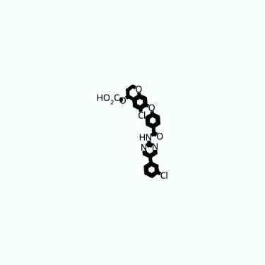 O=C(O)OC1CCOc2cc(Oc3ccc(C(=O)Nc4ncc(-c5cccc(Cl)c5)cn4)cc3)c(Cl)cc21